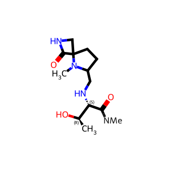 CNC(=O)[C@@H](NCC1CCC2(CNC2=O)N1C)[C@@H](C)O